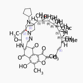 CO[C@H]1/C=C/O[C@@]2(C)Oc3c(C)c(O)c4c(c3C2=O)C(=O)C(/C=N/N2CCN(C3CCCC3)CC2)=C(NC(=O)/C(C)=C\C=C\[C@H](C)[C@H](O)[C@@H](C)[C@@H](O)[C@@H](C)[C@H](OC(C)=O)[C@@H]1C)C4=O